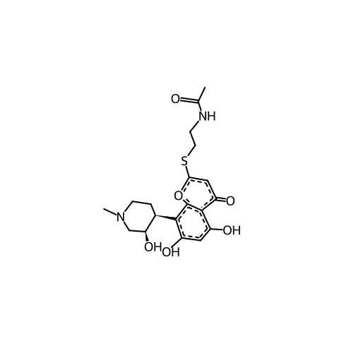 CC(=O)NCCSc1cc(=O)c2c(O)cc(O)c([C@@H]3CCN(C)C[C@@H]3O)c2o1